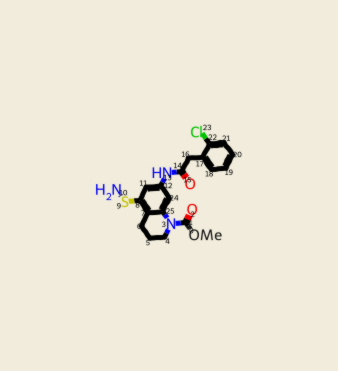 COC(=O)N1CCCc2c(SN)cc(NC(=O)Cc3ccccc3Cl)cc21